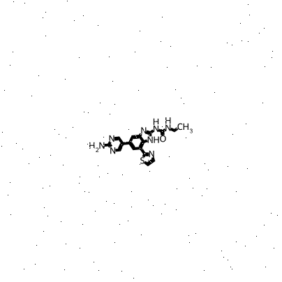 CCNC(=O)Nc1nc2cc(-c3cnc(N)nc3)cc(-c3nccs3)c2[nH]1